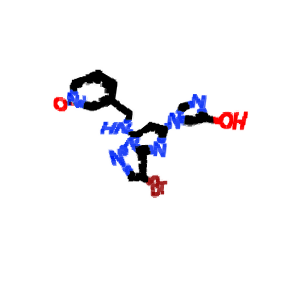 [O-][n+]1cccc(CNc2cc(-n3cnc(O)c3)nc3c(Br)cnn23)c1